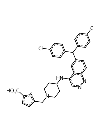 O=C(O)c1ccc(CN2CCC(Nc3cnnc4ccc(C(c5ccc(Cl)cc5)c5ccc(Cl)cc5)cc34)CC2)s1